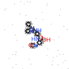 O=C(Nc1cc(CN2CCOCC2)ccc1CO)c1ccc(Nc2nc(-c3ccccc3)c3ccccc3n2)cc1